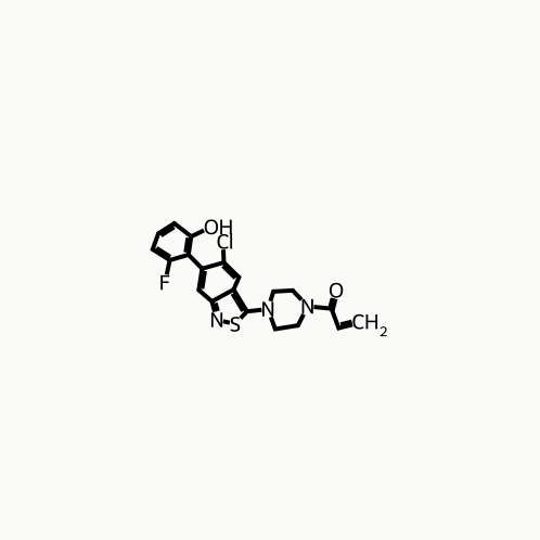 C=CC(=O)N1CCN(c2snc3cc(-c4c(O)cccc4F)c(Cl)cc23)CC1